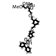 CCCCN(CC(OC)OC)C(=O)CCOCCc1cccc(CCN2CC3CC(OC(=O)Nc4ccccc4-c4ccccc4)CC3C2)c1